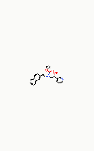 CC(C)(C)OC(=O)N(CCc1ccc2ccccc2c1)CC(O)c1cccnc1